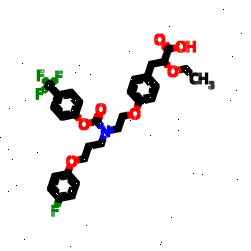 CCOC(Cc1ccc(OCCN(CCCOc2ccc(F)cc2)C(=O)Oc2ccc(C(F)(F)F)cc2)cc1)C(=O)O